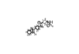 CCC(=O)NC1CCC(C(=O)N(C)c2ccc(-c3nc4ccccc4n3C)cc2)C1